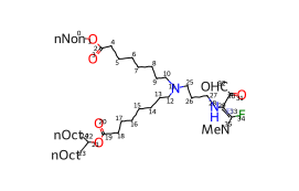 CCCCCCCCCOC(=O)CCCCCCCN(CCCCCCCC(=O)OC(CCCCCCCC)CCCCCCCC)CCCN/C(C(=O)C=O)=C(/F)NC